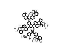 CC(C)(C)c1ccc(N(c2ccc3c(c2)C(C)(C)c2ccccc2-3)c2ccc3c(-c4ccc5c6c(cccc46)C(C)(C)c4ccccc4-5)c4cc(N(c5ccc6c(c5)C(C)(C)c5ccccc5-6)c5ccc6ccccc6c5)ccc4c(-c4ccc5c6c(cccc46)C(C)(C)c4ccccc4-5)c3c2)cc1